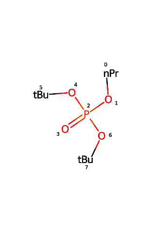 CCCOP(=O)(OC(C)(C)C)OC(C)(C)C